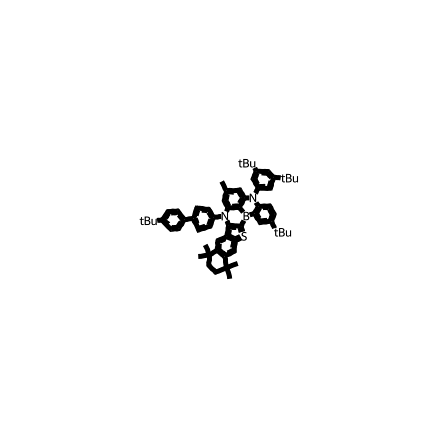 Cc1cc2c3c(c1)N(c1ccc(-c4ccc(C(C)(C)C)cc4)cc1)c1c(sc4cc5c(cc14)C(C)(C)CCC5(C)C)B3c1cc(C(C)(C)C)ccc1N2c1cc(C(C)(C)C)cc(C(C)(C)C)c1